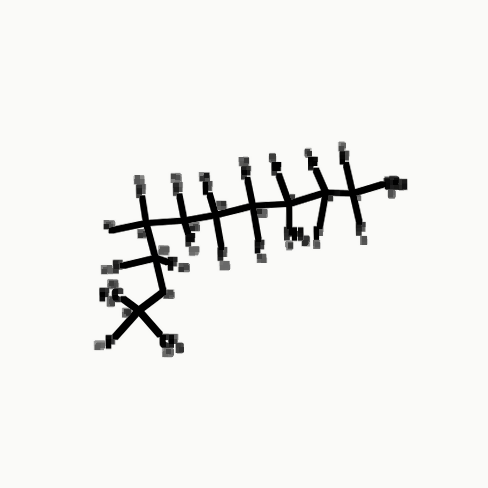 CC(C)(C)C(F)(F)C(F)(F)C(F)(P)C(F)(F)C(F)(F)C(F)(F)C(C)(F)C(F)(F)CC(F)(C(F)(F)F)C(F)(F)F